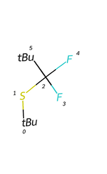 CC(C)(C)SC(F)(F)C(C)(C)C